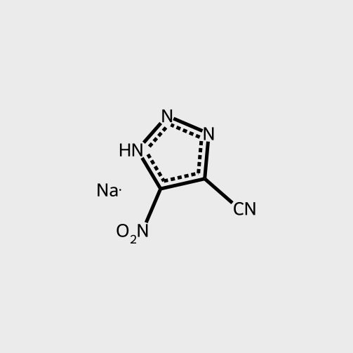 N#Cc1nn[nH]c1[N+](=O)[O-].[Na]